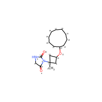 CC1(N2C(=O)CNC2=O)CC(OC2CCCCCCCCC2)C1